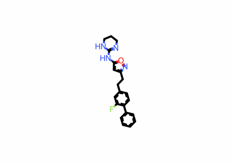 Fc1cc(CCc2cc(NC3=NCCCN3)on2)ccc1-c1ccccc1